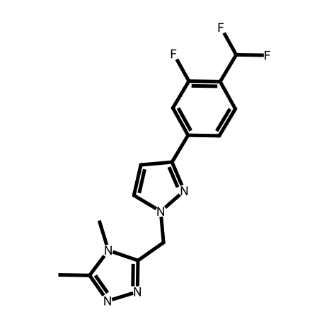 Cc1nnc(Cn2ccc(-c3ccc(C(F)F)c(F)c3)n2)n1C